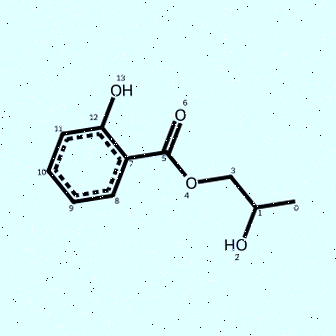 CC(O)COC(=O)c1ccccc1O